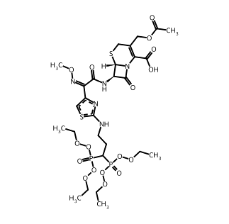 CCOOP(=O)(OOCC)C(CCNc1nc(/C(=N/OC)C(=O)N[C@@H]2C(=O)N3C(C(=O)O)=C(COC(C)=O)CS[C@@H]23)cs1)P(=O)(OOCC)OOCC